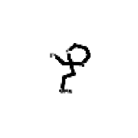 COCCC1(C[C](C)C)SCCCS1